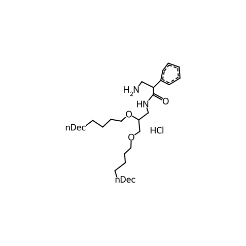 CCCCCCCCCCCCCCOCC(CNC(=O)C(CN)c1ccccc1)OCCCCCCCCCCCCCC.Cl